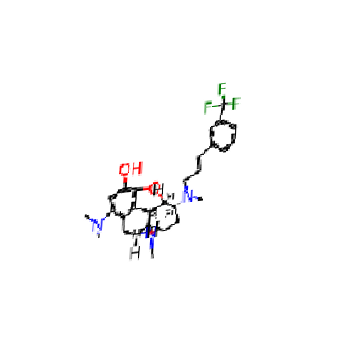 CN(C)c1cc(O)c2c3c1C[C@@H]1[C@@H]4CC[C@@H](N(C)CC=Cc5cccc(C(F)(F)F)c5)[C@H](O2)[C@]34CCN1C